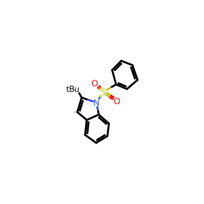 CC(C)(C)c1[c]c2ccccc2n1S(=O)(=O)c1ccccc1